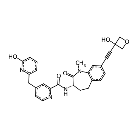 CN1C(=O)[C@@H](NC(=O)c2cc(Cc3cccc(O)n3)ccn2)CCc2ccc(C#CC3(O)COC3)cc21